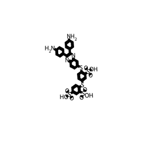 Nc1ccc(-c2nc3ccc(Sc4ccc(Sc5ccc(S(=O)(=O)O)cc5S(=O)(=O)O)cc4S(=O)(=O)O)cc3nc2-c2ccc(N)cc2)cc1